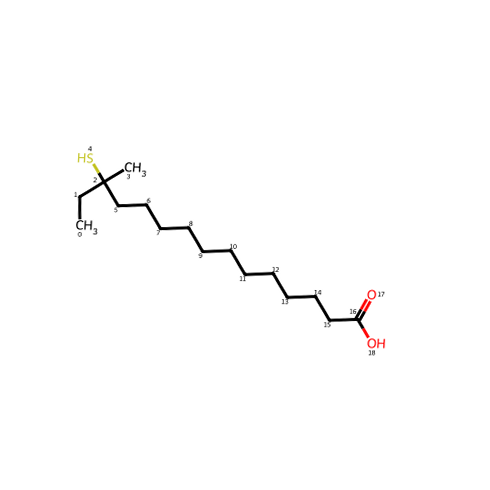 CCC(C)(S)CCCCCCCCCCCC(=O)O